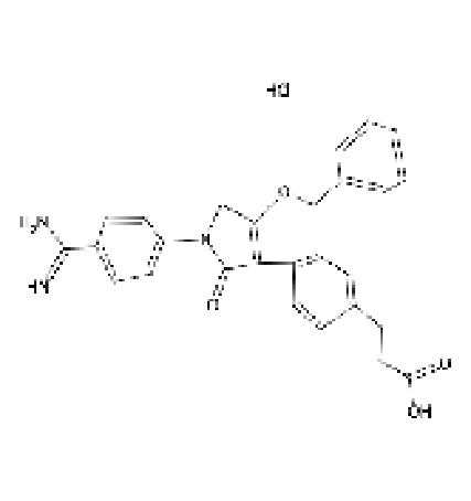 Cl.N=C(N)c1ccc(N2CC(OCc3ccccc3)=C(c3ccc(CCC(=O)O)cc3)C2=O)cc1